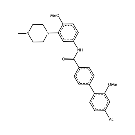 COc1cc(C(C)=O)ccc1-c1ccc(C(=O)Nc2ccc(OC)c(N3CCN(C)CC3)c2)cc1